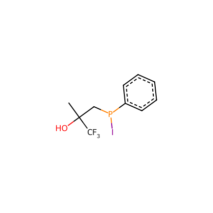 CC(O)(CP(I)c1ccccc1)C(F)(F)F